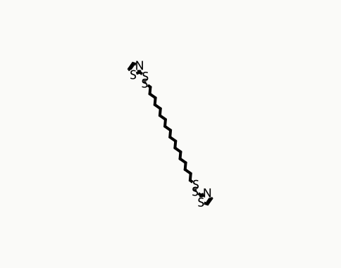 c1csc(SSCCCCCCCCCCCCCCCCCCSSc2nccs2)n1